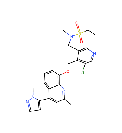 CCS(=O)(=O)N(C)Cc1cncc(Cl)c1COc1cccc2c(-c3ccnn3C)cc(C)nc12